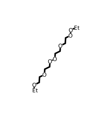 CCOCCOCCOOCCOCCOOCC